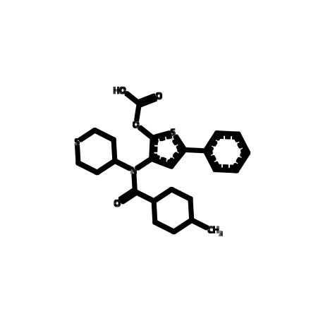 CC1CCC(C(=O)N(c2cc(-c3ccccc3)sc2OC(=O)O)C2CCSCC2)CC1